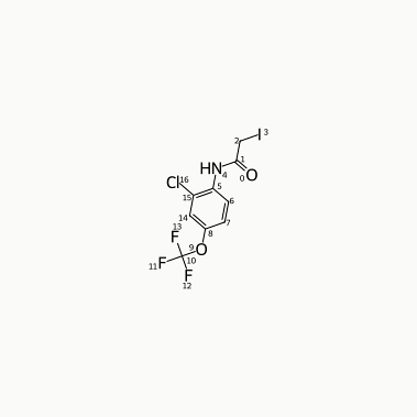 O=C(CI)Nc1ccc(OC(F)(F)F)cc1Cl